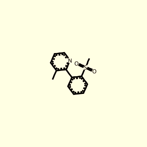 Cc1cccnc1-c1ccccc1S(C)(=O)=O